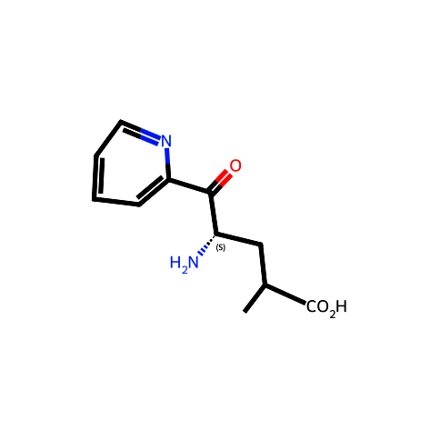 CC(C[C@H](N)C(=O)c1ccccn1)C(=O)O